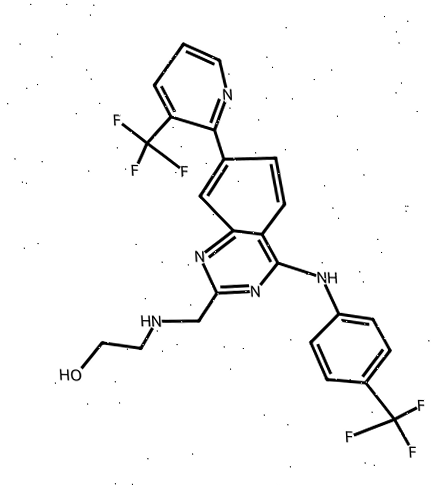 OCCNCc1nc(Nc2ccc(C(F)(F)F)cc2)c2ccc(-c3ncccc3C(F)(F)F)cc2n1